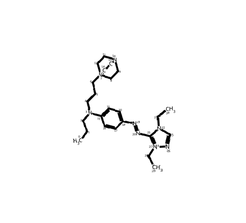 CCCN(CCC[N+]12CCN(CC1)CC2)c1ccc(N=Nc2n(CC)cn[n+]2CC)cc1